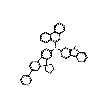 c1ccc(-c2ccc3c(c2)C2(CCCC2)c2cc(N(c4ccc5c(c4)oc4ccccc45)c4cc5ccccc5c5ccccc45)ccc2-3)cc1